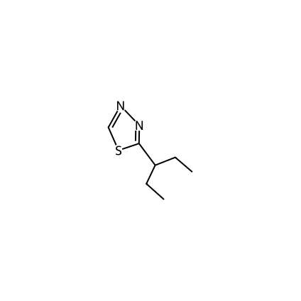 CCC(CC)c1nncs1